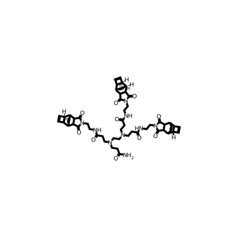 NC(=O)CCN(CCC(=O)NCCN1C(=O)C2C3C=CC(C2C1=O)[C@@H]1C=CC31)CCN(CCC(=O)NCCN1C(=O)C2C3C=CC(C2C1=O)[C@H]1C=CC31)CCC(=O)NCCN1C(=O)C2C3C=C[C@H](C2C1=O)[C@@H]1C=CC31